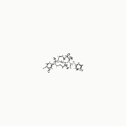 Cc1ccc(N(CCCN2CCC(Cc3ccc(F)cc3)CC2)C(=O)C2CCN(C(=O)C[18F])CC2)cc1Cl